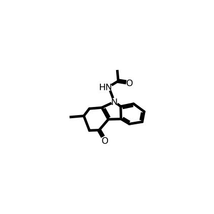 CC(=O)Nn1c2c(c3ccccc31)C(=O)CC(C)C2